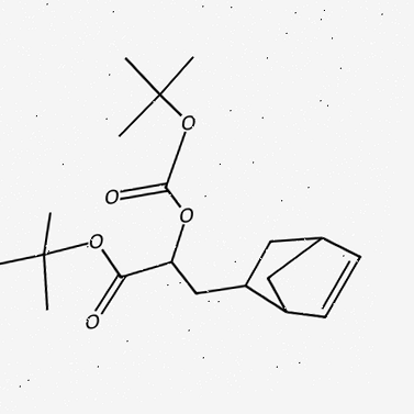 CC(C)(C)OC(=O)OC(CC1CC2C=CC1C2)C(=O)OC(C)(C)C